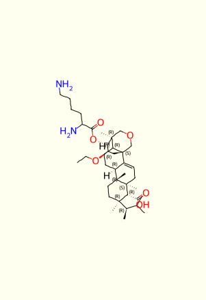 CCO[C@@H]1C[C@]23COC[C@@](C)([C@@H]2CC[C@H]2C3=CC[C@@]3(C)[C@H](C(=O)O)[C@@](C)([C@H](C)C(C)C)CC[C@]23C)[C@H]1OC(=O)C(N)CCCCN